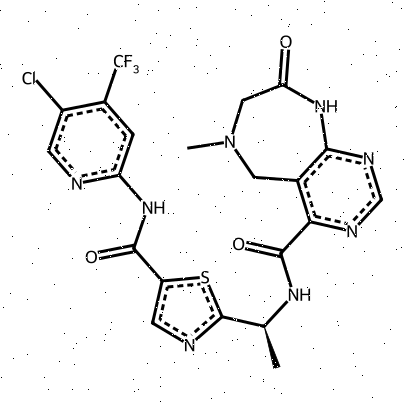 C[C@H](NC(=O)c1ncnc2c1CN(C)CC(=O)N2)c1ncc(C(=O)Nc2cc(C(F)(F)F)c(Cl)cn2)s1